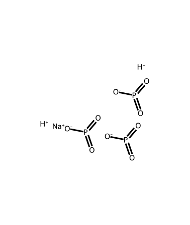 O=P(=O)[O-].O=P(=O)[O-].O=P(=O)[O-].[H+].[H+].[Na+]